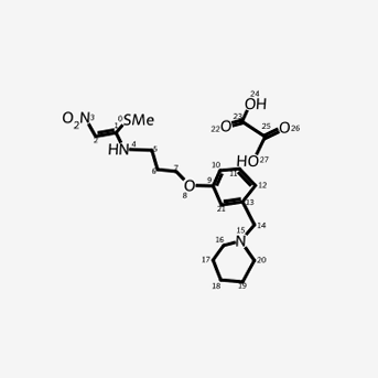 CS/C(=C\[N+](=O)[O-])NCCCOc1cccc(CN2CCCCC2)c1.O=C(O)C(=O)O